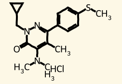 CSc1ccc(-c2nn(CC3CC3)c(=O)c(N(C)C)c2C)cc1.Cl